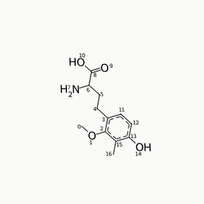 COc1c(CCC(N)C(=O)O)ccc(O)c1C